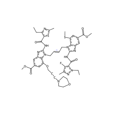 CCc1nc(C)sc1C(=O)Nc1nc2cc(C(=O)OC)cc(OCCCN3CCOCC3)c2n1C/C=C/Cn1c(NC(=O)c2c(F)c(C)nn2CC)nc2cc(C(=O)OC)cc(SC)c21